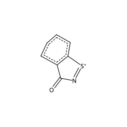 O=C1N=[S+]c2ccccc21